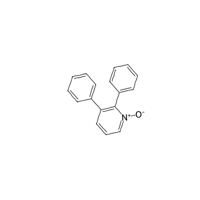 [O-][n+]1cccc(-c2ccccc2)c1-c1ccccc1